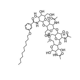 CCCCCCCCCCCOc1cccc(C(=O)NC2C(OC3C(CO)OC(OC4C(CO)OC(OC5C(COC)OC(O)C(NC(C)=O)C5O)C(NC(C)=O)C4O)C(NC(C)=O)C3O)OC(CO)C(O)C2O)c1